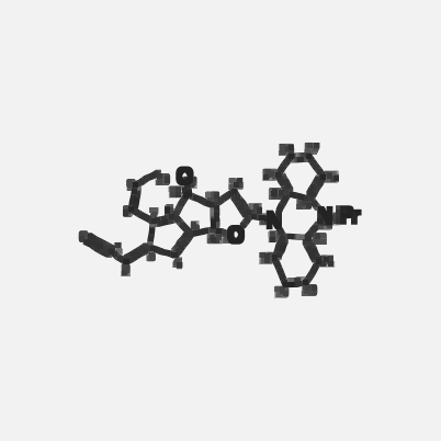 C#C/C=C1/C=C2C(=C1/C=C\C)C(=O)c1cc(N3c4ccccc4N(C(C)C)c4ccccc43)oc12